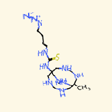 CC12CNCNCC(NC(=S)NCCCCN=[N+]=[N-])(CNCNC1)CNCNC2